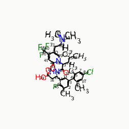 Cc1cc(-c2c(C)cc(Cl)cc2C)cc(C(CC(=O)O)NC(=O)C(CC(C)C)n2cc(CCN(C)C)c(C(F)(F)F)cc2=O)c1F